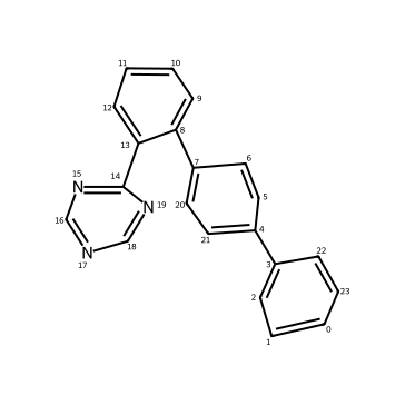 c1ccc(-c2ccc(-c3ccccc3-c3ncncn3)cc2)cc1